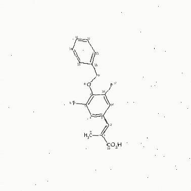 CC(=Cc1cc(F)c(OCc2ccccc2)c(F)c1)C(=O)O